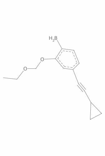 Bc1ccc(C#CC2CC2)cc1OCOCC